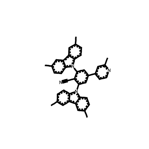 Cc1ccc2c(c1)c1cc(C)ccc1n2-c1cc(-c2ccnc(C)c2)cc(-n2c3ccc(C)cc3c3cc(C)ccc32)c1C#N